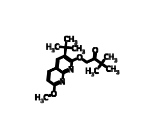 COc1ccc2cc(C(C)(C)C)c(OCC(=O)C(C)(C)C)nc2n1